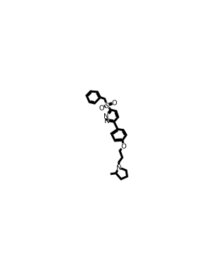 CC1CCCN1CCCOc1ccc(-c2ccc(S(=O)(=O)Cc3ccccc3)nn2)cc1